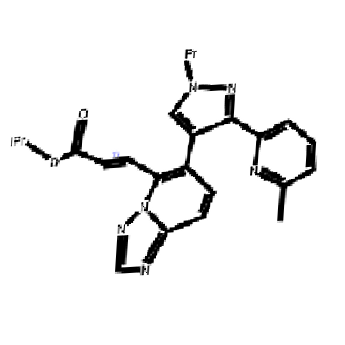 Cc1cccc(-c2nn(C(C)C)cc2-c2ccc3ncnn3c2/C=C/C(=O)OC(C)C)n1